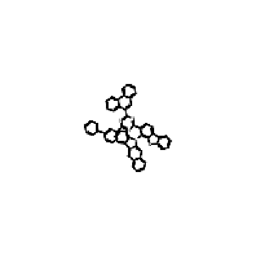 c1ccc(-c2cccc(-c3nc(-c4ccc5c(sc6ccccc65)c4-n4c5ccccc5c5cc6ccccc6cc54)nc(-c4cc5ccccc5c5ccccc45)n3)c2)cc1